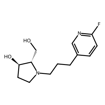 OC[C@H]1[C@H](O)CCN1CCCc1ccc(F)nc1